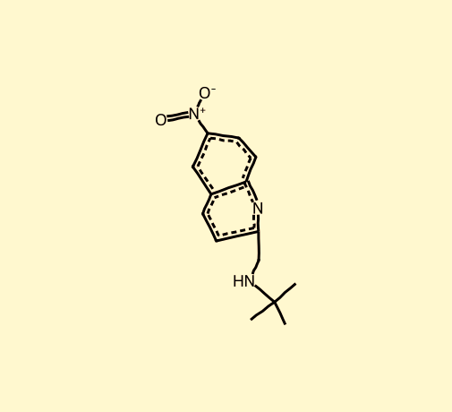 CC(C)(C)NCc1ccc2cc([N+](=O)[O-])ccc2n1